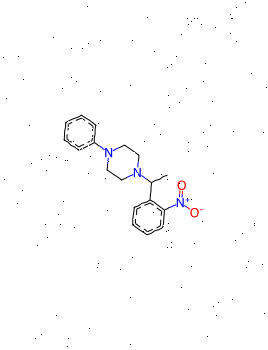 CC(c1ccccc1[N+](=O)[O-])N1CCN(c2ccccc2)CC1